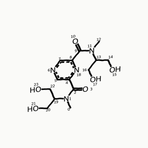 CN(C(=O)c1cncc(C(=O)N(C)C(CO)CO)n1)C(CO)CO